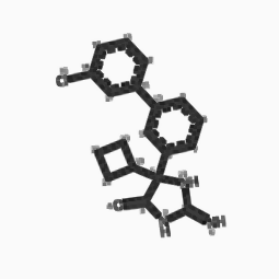 N=C1NC(=O)C(c2cccc(-c3cccc(Cl)c3)c2)(C2CCC2)N1